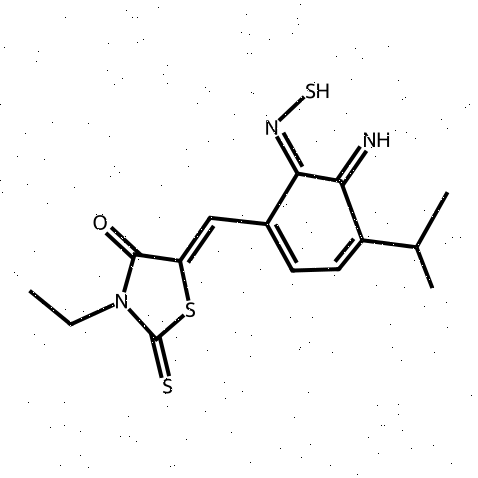 CCN1C(=O)/C(=C/C2=CC=C(C(C)C)C(=N)/C2=N\S)SC1=S